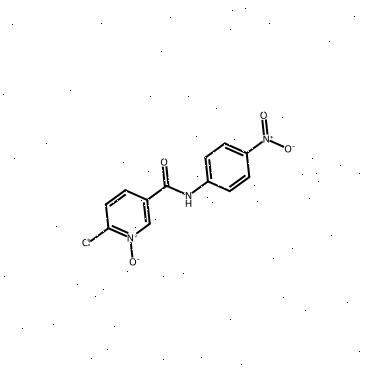 O=C(Nc1ccc([N+](=O)[O-])cc1)c1ccc(Cl)[n+]([O-])c1